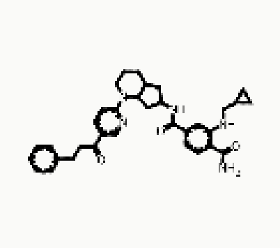 NC(=O)c1ccc(C(=O)NC2CC3CCCN(c4ccc(C(=O)CCc5ccccc5)cn4)C3C2)cc1NCC1CC1